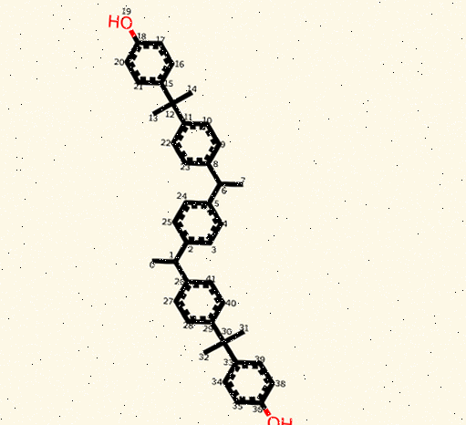 CC(c1ccc(C(C)c2ccc(C(C)(C)c3ccc(O)cc3)cc2)cc1)c1ccc(C(C)(C)c2ccc(O)cc2)cc1